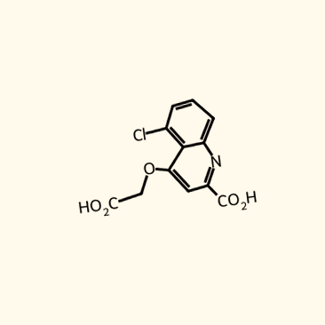 O=C(O)COc1cc(C(=O)O)nc2cccc(Cl)c12